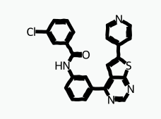 O=C(Nc1cccc(-c2ncnc3sc(-c4ccncc4)cc23)c1)c1cccc(Cl)c1